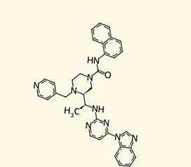 C[C@H](Nc1nccc(-n2cnc3ccccc32)n1)[C@@H]1CN(C(=O)Nc2cccc3ccccc23)CCN1Cc1ccncc1